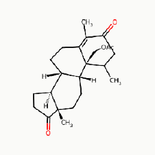 CC(=O)OC[C@@]12C(=C(C)C(=O)CC1C)CC[C@@H]1[C@H]2CC[C@]2(C)C(=O)CC[C@@H]12